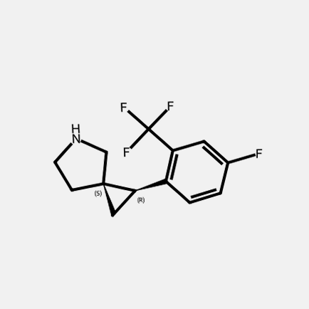 Fc1ccc([C@H]2C[C@]23CCNC3)c(C(F)(F)F)c1